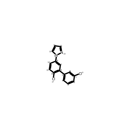 Clc1cccc(-c2cc(-n3cc[c]n3)ccc2Cl)c1